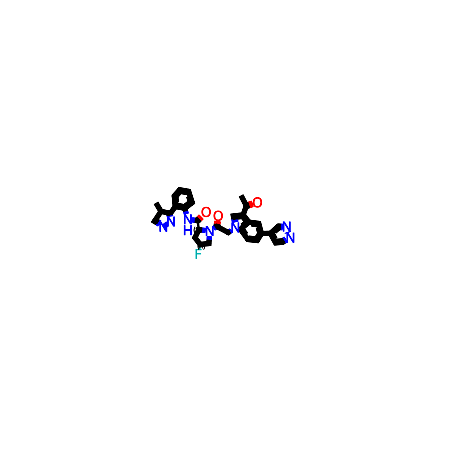 CC(=O)c1cn(CC(=O)N2C[C@H](F)C[C@H]2C(=O)Nc2ccccc2C2=NN=CC2C)c2ccc(-c3ccnnc3)cc12